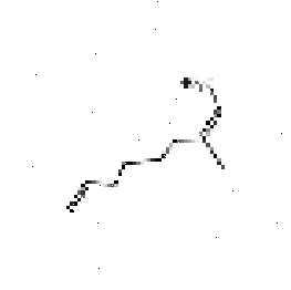 C=CCCCCC(C)=CC(=O)O